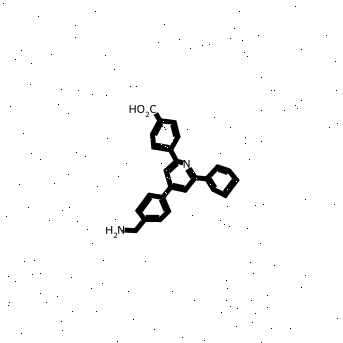 NCc1ccc(-c2cc(-c3ccccc3)nc(-c3ccc(C(=O)O)cc3)c2)cc1